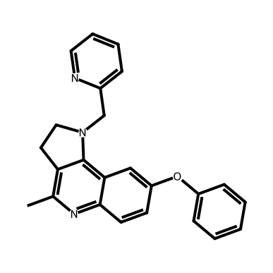 Cc1nc2ccc(Oc3ccccc3)cc2c2c1CCN2Cc1ccccn1